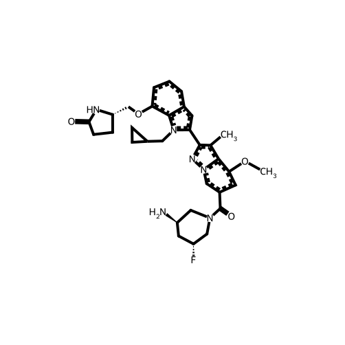 COc1cc(C(=O)N2C[C@H](N)C[C@@H](F)C2)cn2nc(-c3cc4cccc(OC[C@@H]5CCC(=O)N5)c4n3CC3CC3)c(C)c12